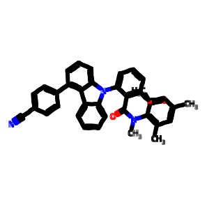 Cc1cc(C)c(N(C)C(=O)c2c(C=O)cccc2-n2c3ccccc3c3c(-c4ccc(C#N)cc4)cccc32)c(C)c1